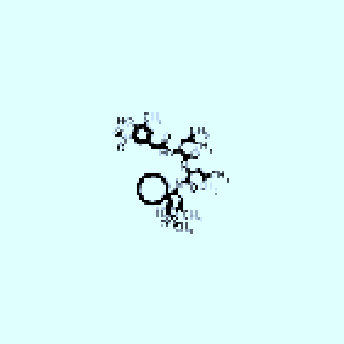 Cc1cc(CC(=O)N[C@@H](CC(C)C)C(=O)N[C@@H](CC(C)C)C(=O)N[C@@H](CC(C)C)C2(/C=C/S(C)(=O)=O)CCCCCCCCC2)cc([N+](=O)[O-])c1O